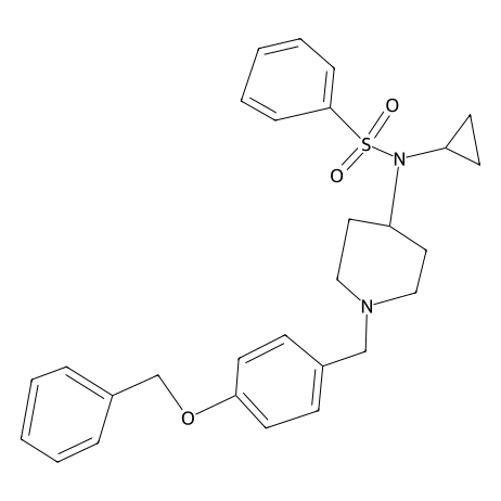 O=S(=O)(c1ccccc1)N(C1CC1)C1CCN(Cc2ccc(OCc3ccccc3)cc2)CC1